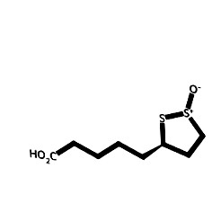 O=C(O)CCCC[C@@H]1CC[S+]([O-])S1